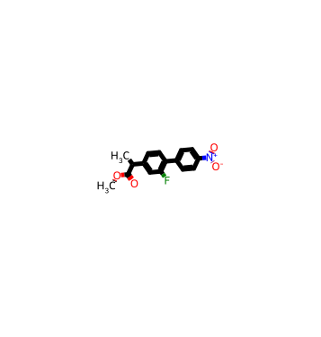 COC(=O)C(C)c1ccc(-c2ccc([N+](=O)[O-])cc2)c(F)c1